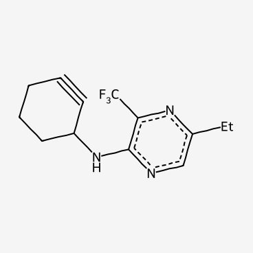 CCc1cnc(NC2C#CCCC2)c(C(F)(F)F)n1